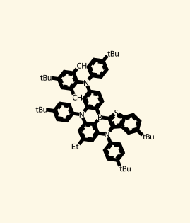 CCc1cc2c3c(c1)N(c1ccc(C(C)(C)C)cc1)c1c(sc4ccc(C(C)(C)C)cc14)B3c1ccc(N(c3ccc(C(C)(C)C)cc3)c3c(C)cc(C(C)(C)C)cc3C)cc1N2c1ccc(C(C)(C)C)cc1